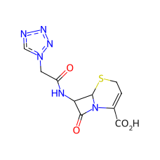 O=C(Cn1cnnn1)NC1C(=O)N2C(C(=O)O)=CCSC12